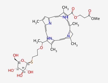 COC(=O)CCOC(=O)c1c(C)c2cc3nc(cc4[nH]c(cc5nc(c(C)c1[nH]2)CC5C)c(C)c4C(C)OCCCS[C@@H]1O[C@H](CO)[C@@H](O)[C@H](O)[C@H]1O)C(C)=C3